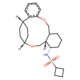 O=S(=O)(N[C@H]1CCCC2COc3ccccc3[C@H]3CC[C@H](CC3)OC[C@H]21)C1CCC1